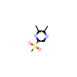 Cc1ncc(S(C)(=O)=O)nc1C